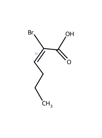 CCC/C=C(/Br)C(=O)O